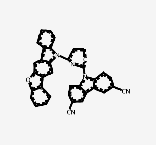 N#Cc1ccc2c(c1)c1cc(C#N)ccc1n2-c1cccc(-n2c3ccccc3c3cc4oc5ccccc5c4cc32)n1